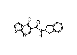 O=C(NC1Cc2ccccc2C1)c1cnc2sccn2c1=O